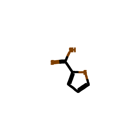 S=C(S)c1cccs1